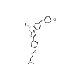 CCOCc1nc(-c2ccc(OCCCN(C)C)cc2)cn1-c1ccc(Oc2ccc(Cl)cc2)cc1